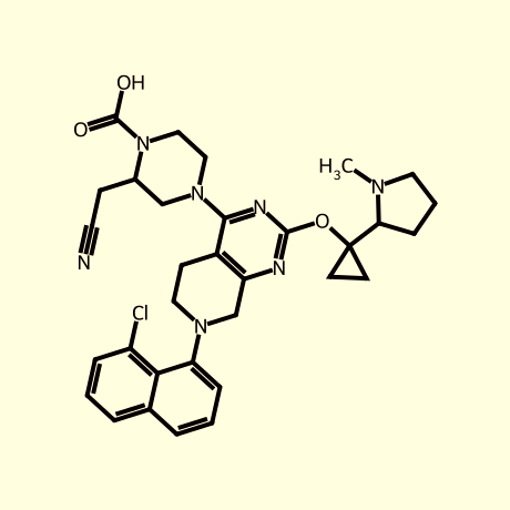 CN1CCCC1C1(Oc2nc3c(c(N4CCN(C(=O)O)C(CC#N)C4)n2)CCN(c2cccc4cccc(Cl)c24)C3)CC1